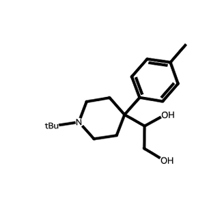 Cc1ccc(C2(C(O)CO)CCN(C(C)(C)C)CC2)cc1